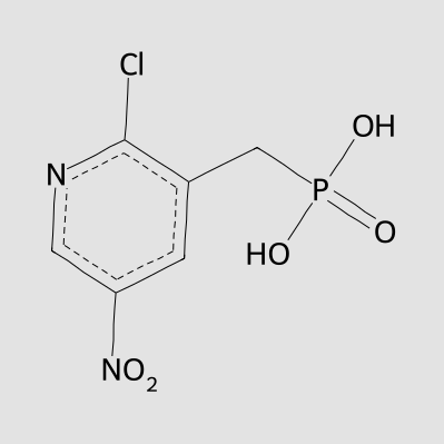 O=[N+]([O-])c1cnc(Cl)c(CP(=O)(O)O)c1